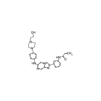 C=CC(=O)Nc1cccc(-c2cn3cc(Nc4ccc(N5CCN(CCO)CC5)cc4)ncc3n2)c1